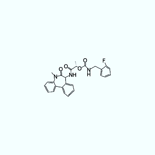 C[C@H](OC(=O)NCc1ccccc1F)C(=O)NC1C(=O)N(C)c2ccccc2-c2ccccc21